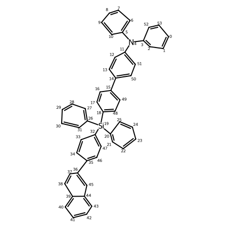 c1ccc(N(c2ccccc2)c2ccc(-c3ccc([Si](c4ccccc4)(c4ccccc4)c4ccc(-c5ccc6ccccc6c5)cc4)cc3)cc2)cc1